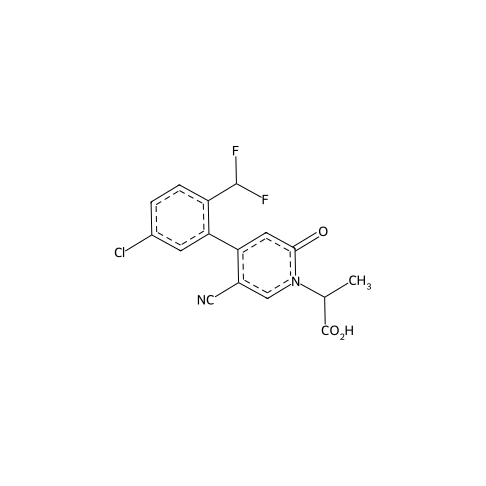 CC(C(=O)O)n1cc(C#N)c(-c2cc(Cl)ccc2C(F)F)cc1=O